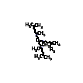 CC(C)=CCC/C(C)=C/COC(/C=C(\C)CCC=C(C)C)C/C=C(\C)CCC=C(C)C